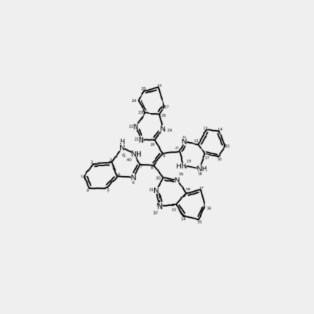 c1ccc2c(c1)N=C(/C(=C(/C1=Nc3ccccc3NN1)c1nnc3ccccc3n1)c1nnc3ccccc3n1)NN2